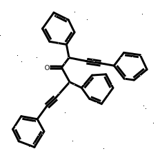 O=C(C(C#Cc1ccccc1)c1ccccc1)C(C#Cc1ccccc1)c1ccccc1